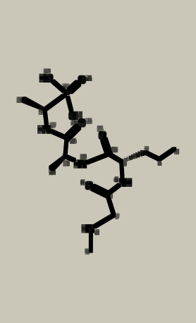 CCC[C@H](NC(=O)CNC)C(=O)N[C@@H](C)C(=O)N[C@@H](C)P(=O)(O)O